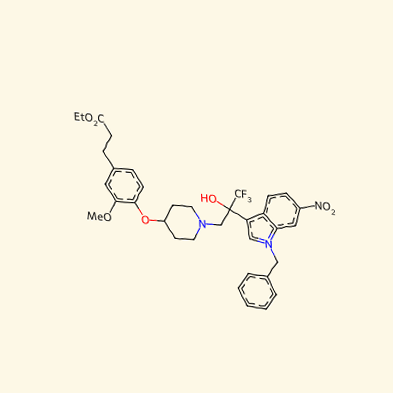 CCOC(=O)CCc1ccc(OC2CCN(CC(O)(c3cn(Cc4ccccc4)c4cc([N+](=O)[O-])ccc34)C(F)(F)F)CC2)c(OC)c1